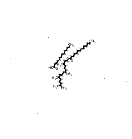 CCCCCCCCCCCCCC(=O)O.CCCCCCCCCCCCCC(=O)OCC=C(C)CCC=C(C)CCC=C(C)CCC=C(C)C